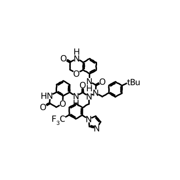 CC(C)(C)c1ccc(CN(C(=O)Nc2cccc3c2OCC(=O)N3)N(Cc2ccc(C(F)(F)F)cc2-n2ccnc2)C(=O)Nc2cccc3c2OCC(=O)N3)cc1